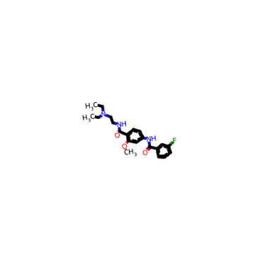 CCN(CC)CCNC(=O)c1ccc(NC(=O)c2cccc(F)c2)cc1OC